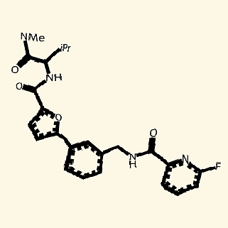 CNC(=O)C(NC(=O)c1ccc(-c2cccc(CNC(=O)c3cccc(F)n3)c2)o1)C(C)C